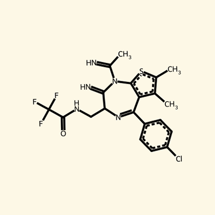 CC(=N)N1C(=N)C(CNC(=O)C(F)(F)F)N=C(c2ccc(Cl)cc2)c2c1sc(C)c2C